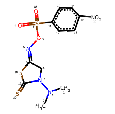 CN(C)N1CC(=NOS(=O)(=O)c2ccc([N+](=O)[O-])cc2)SC1=S